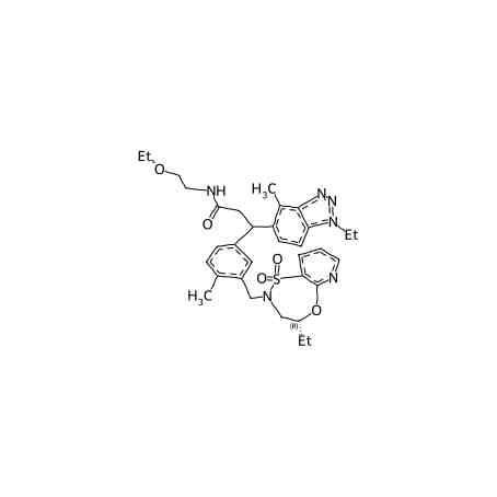 CCOCCNC(=O)CC(c1ccc(C)c(CN2C[C@@H](CC)Oc3ncccc3S2(=O)=O)c1)c1ccc2c(nnn2CC)c1C